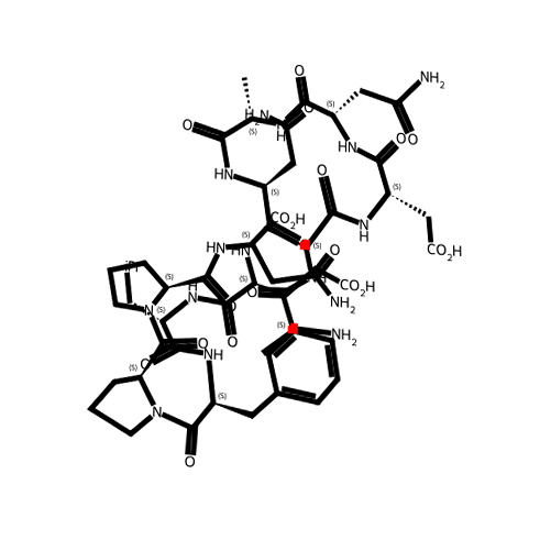 CC(C)C[C@H](NC(=O)[C@H](CCC(=O)O)NC(=O)[C@H](CC(N)=O)NC(=O)[C@H](C)NC(=O)[C@H](CC(N)=O)NC(=O)[C@H](CC(=O)O)NC(=O)[C@H](C)NC(=O)[C@H](C)N)C(=O)N[C@@H](Cc1ccccc1)C(=O)N1CCC[C@H]1C(=O)N1CCC[C@H]1C(=O)N[C@@H](CC(N)=O)C(=O)O